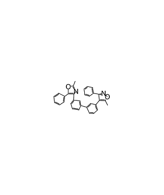 Cc1nc(-c2cccc(-c3cccc(-c4c(-c5ccccc5)noc4C)c3)c2)c(-c2ccccc2)o1